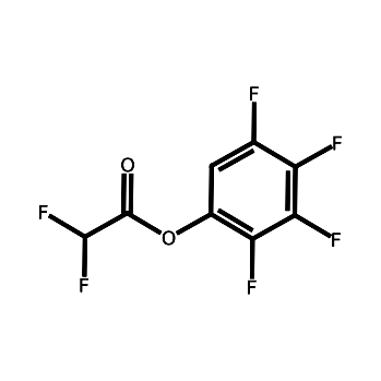 O=C(Oc1cc(F)c(F)c(F)c1F)C(F)F